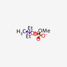 CC[N+](C)(O)CC.COS(=O)(=O)[O-]